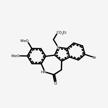 CCOC(=O)Cn1c2c(c3cc(Br)ccc31)CC(=O)Nc1cc(OC)c(OC)cc1-2